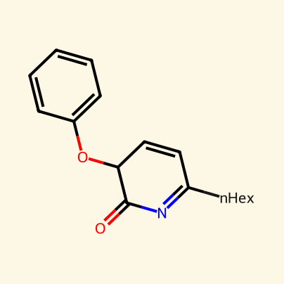 CCCCCCC1=NC(=O)C(Oc2ccccc2)C=C1